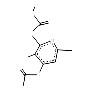 COC(=O)Oc1nc(Cl)cc(NC(C)=O)c1Cl